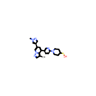 Cn1cc(-c2cc(-c3ccc(N4CCC(SO)CC4)nc3)c3c(C#N)cnn3c2)cn1